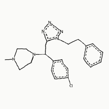 CN1CCN(C(c2ccc(Cl)cc2)c2nnnn2CCc2ccccc2)CC1